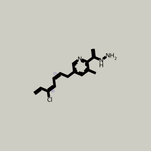 C=C/C(Cl)=C\C=C/Cc1cnc(C(=C)NN)c(C)c1